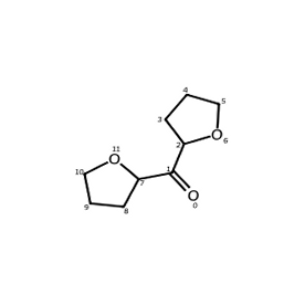 O=C(C1CCCO1)C1CCCO1